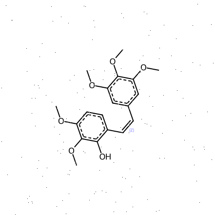 COc1cc(/C=C\c2ccc(OC)c(OC)c2O)cc(OC)c1OC